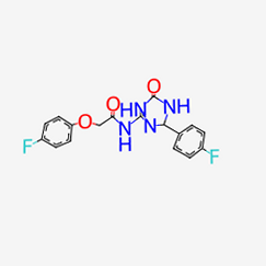 O=C(COc1ccc(F)cc1)NC1=NC(c2ccc(F)cc2)NC(=O)N1